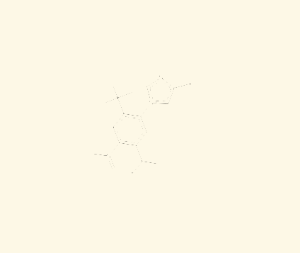 O=[N+]([O-])c1cc(C(F)(F)F)c(-n2cnc(CO)c2)cc1C(Cl)Cl